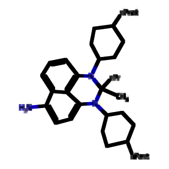 CCCCCC1CCC(N2c3cccc4c(N)ccc(c34)N(C3CCC(CCCCC)CC3)C2(C)CCC)CC1